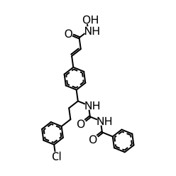 O=C(C=Cc1ccc(C(CCc2cccc(Cl)c2)NC(=O)NC(=O)c2ccccc2)cc1)NO